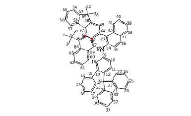 CC(C)(C)c1ccc(N(c2ccc3c(c2)-c2ccccc2C3(c2ccccc2)c2ccccc2)c2ccc3ccccc3c2-c2ccc3c(c2)C(C)(C)c2ccccc2-3)c2ccccc12